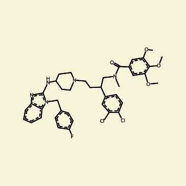 COc1cc(C(=O)N(C)CC(CCN2CCC(Nc3nc4ccccc4n3Cc3ccc(F)cc3)CC2)c2ccc(Cl)c(Cl)c2)cc(OC)c1OC